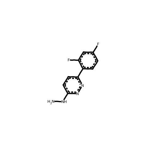 NNc1ccc(-c2ccc(F)cc2F)nn1